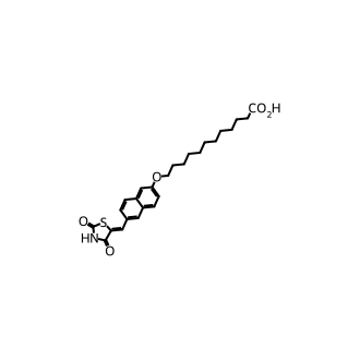 O=C(O)CCCCCCCCCCCOc1ccc2cc(/C=C3\SC(=O)NC3=O)ccc2c1